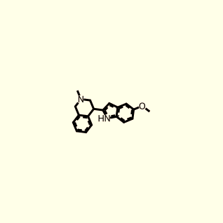 COc1ccc2[nH]c(C3CN(C)Cc4ccccc43)cc2c1